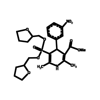 COC(=O)C1=C(C)NC(C)=C(P(=O)(OCC2CCCO2)OCC2CCCO2)C1c1cccc([N+](=O)[O-])c1